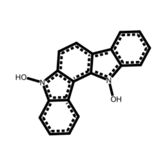 On1c2ccccc2c2c1ccc1c3ccccc3n(O)c12